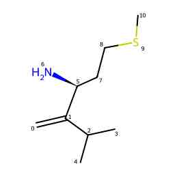 C=C(C(C)C)[C@@H](N)CCSC